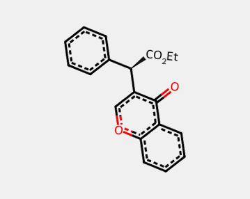 CCOC(=O)[C@H](c1ccccc1)c1coc2ccccc2c1=O